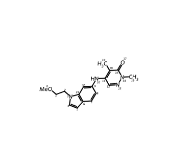 COCCn1ccc2ccc(Nc3cnn(C)c(=O)c3C)cc21